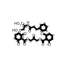 O=C(COC(=O)c1c(Cl)cccc1Cl)COC(=O)c1c(Cl)cccc1Cl.O=C(O)C[C@H](NC(=O)CCc1ccccc1)C(=O)O